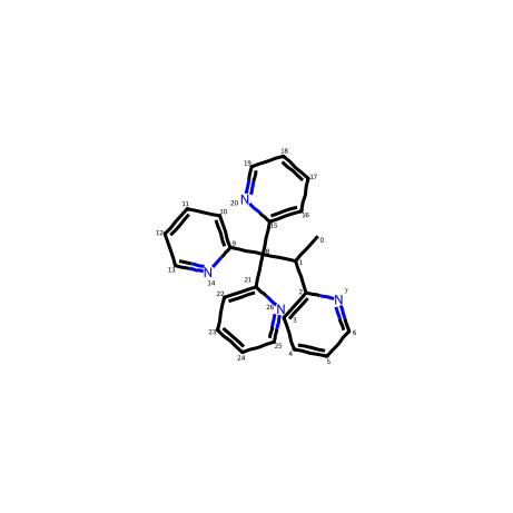 CC(c1ccccn1)C(c1ccccn1)(c1ccccn1)c1ccccn1